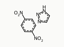 O=[N+]([O-])c1ccc([N+](=O)[O-])cc1.c1c[nH]nn1